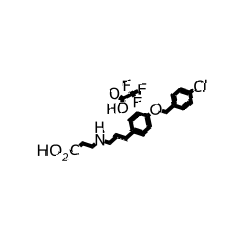 O=C(O)C(F)(F)F.O=C(O)CCNCCCc1ccc(OCc2ccc(Cl)cc2)cc1